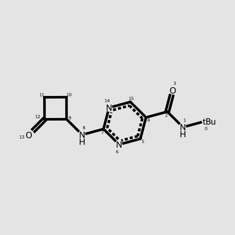 CC(C)(C)NC(=O)c1cnc(NC2CCC2=O)nc1